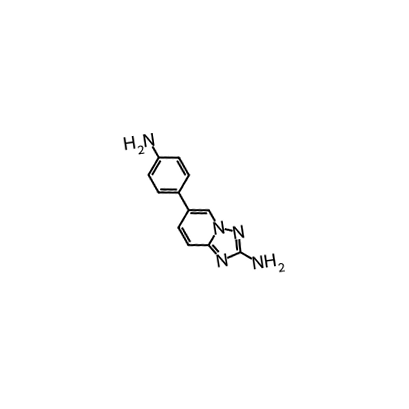 Nc1ccc(-c2ccc3nc(N)nn3c2)cc1